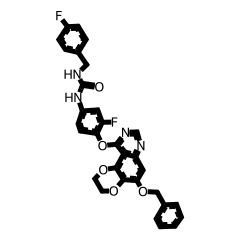 O=C(NCc1ccc(F)cc1)Nc1ccc(Oc2ncnc3cc(OCc4ccccc4)c4c(c23)OCCO4)c(F)c1